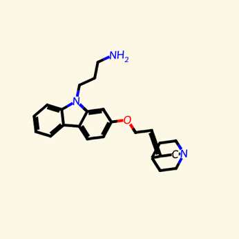 NCCCn1c2ccccc2c2ccc(OCC=C3CN4CCC3CC4)cc21